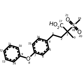 CC(CCc1ccc(Oc2ccccc2)cc1)(C(=O)O)S(C)(=O)=O